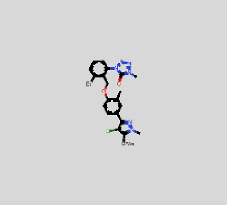 CCc1cccc(-n2nnn(C)c2=O)c1COc1ccc(-c2nn(C)c(OC)c2Cl)cc1C